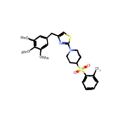 COc1cc(Cc2csc(N3CCC(S(=O)(=O)c4ccccc4C(F)(F)F)CC3)n2)cc(OC)c1OC